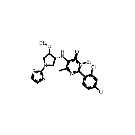 CCO[C@@H]1CN(c2nccs2)C[C@H]1Nc1c(C)nc(-c2ccc(Cl)cc2Cl)n(CC)c1=O